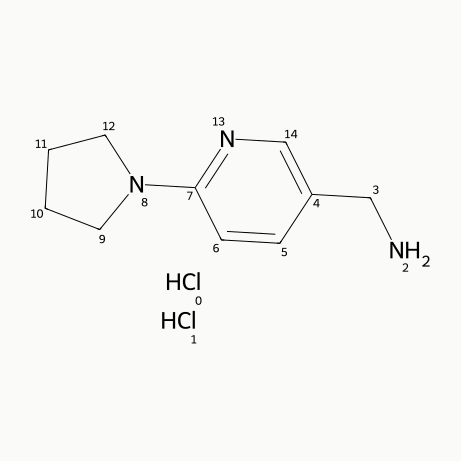 Cl.Cl.NCc1ccc(N2CCCC2)nc1